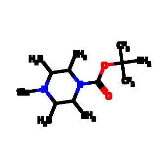 BC1C(B)N(C(C)(C)C)C(B)C(B)N1C(=O)OC(B)(C(F)(F)F)C(F)(F)F